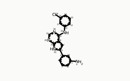 Nc1cccc(-c2cc3c(Nc4cccc(Cl)c4)ncnc3[nH]2)c1